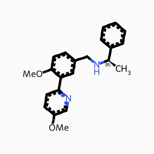 COc1ccc(-c2cc(CN[C@H](C)c3ccccc3)ccc2OC)nc1